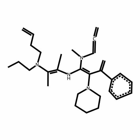 C=C=CN(C)/C(N/C(C)=C(\C)N(CCC)CCC=C)=C(\C(=C)c1ccccc1)N1CCCCC1